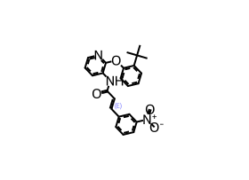 CC(C)(C)c1ccccc1Oc1ncccc1NC(=O)/C=C/c1cccc([N+](=O)[O-])c1